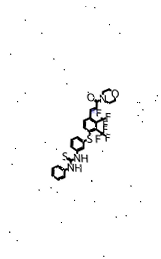 O=C(/C=C/c1ccc(Sc2cccc(NC(=S)Nc3ccccc3)c2)c(C(F)(F)F)c1C(F)(F)F)N1CCOCC1